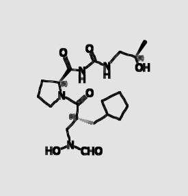 C[C@@H](O)CNC(=O)NC(=O)[C@@H]1CCCN1C(=O)[C@H](CC1CCCC1)CN(O)C=O